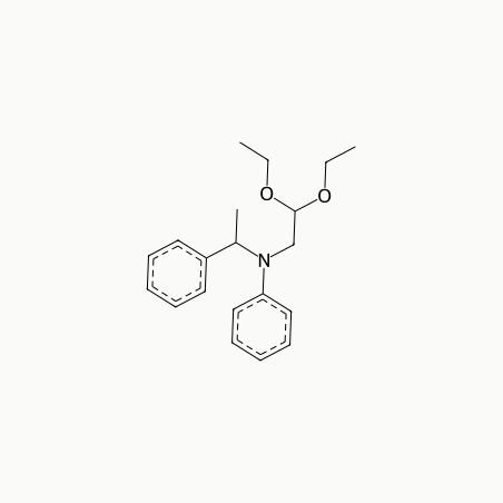 CCOC(CN(c1ccccc1)C(C)c1ccccc1)OCC